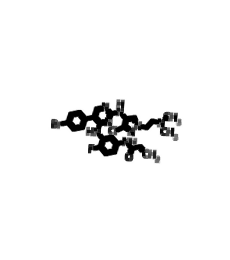 C=CC(=O)Nc1ccc(F)c(Nc2nc(Nc3cn(CCN(C)C)nc3Cl)ncc2-c2ccc(Br)cc2)c1